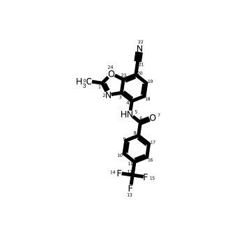 Cc1nc2c(NC(=O)c3ccc(C(F)(F)F)cc3)ccc(C#N)c2o1